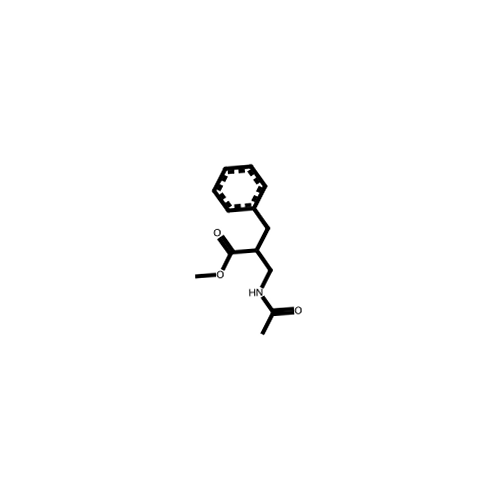 COC(=O)C(CNC(C)=O)Cc1ccccc1